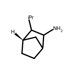 CC(C)C1C(N)C2CC[C@H]1C2